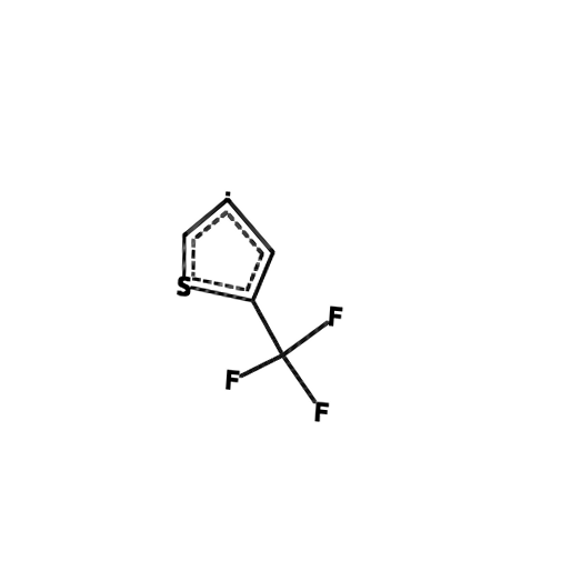 FC(F)(F)c1c[c]cs1